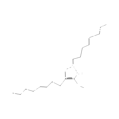 CCCCCCCCC1=C(SS)NN(CCCCCCCC)S1